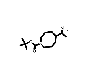 CC(N)C1CCCN(C(=O)OC(C)(C)C)CCC1